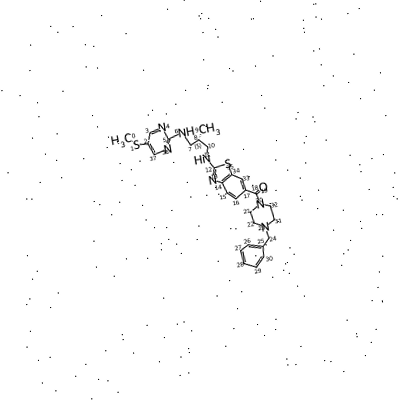 CSc1cnc(NC[C@H](C)CNc2nc3ccc(C(=O)N4CCN(Cc5ccccc5)CC4)cc3s2)nc1